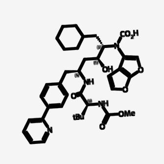 COC(=O)N[C@H](C(=O)N[C@@H](Cc1ccc(-c2ccccn2)cc1)C[C@H](O)[C@H](CC1CCCCC1)N(C(=O)O)c1coc2occc12)C(C)(C)C